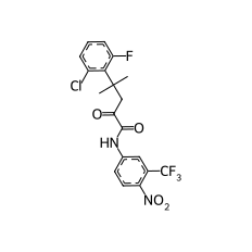 CC(C)(CC(=O)C(=O)Nc1ccc([N+](=O)[O-])c(C(F)(F)F)c1)c1c(F)cccc1Cl